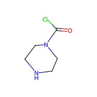 O=C(Cl)N1CCNCC1